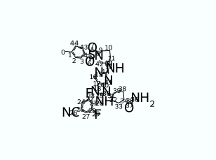 Cc1ccc(S(=O)(=O)N2CCC[C@@H](Nc3ncc4nc(Nc5c(F)cc(C#N)cc5F)n([C@H]5CC[C@@H](C(N)=O)CC5)c4n3)C2)cc1